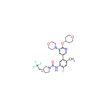 Cc1cc(F)c(NC(=O)N2CC[C@@H](CC(F)(F)F)C2)cc1-c1cnc(OC2CCOCC2)c(N2CCOCC2)c1